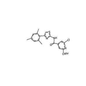 COc1cc(C(=O)Nc2nc(-c3c(C)cc(C)cc3C)cs2)cc(Cl)n1